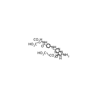 Nc1nc2ncc(CNc3ccc(C(=O)NC(CCC(=O)O)C(=O)O)cc3)nc2c(=O)[nH]1.O=C(O)CCC(=O)O